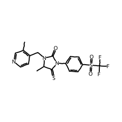 Cc1cnccc1CN1C(=O)N(c2ccc(S(=O)(=O)C(F)(F)F)cc2)C(=S)C1C